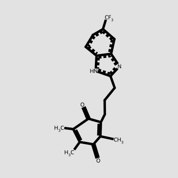 CC1=C(C)C(=O)C(CCCc2nc3cc(C(F)(F)F)ccc3[nH]2)=C(C)C1=O